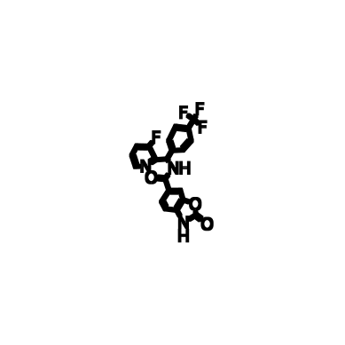 O=C(NC(c1ccc(C(F)(F)F)cc1)c1ncccc1F)c1ccc2[nH]c(=O)oc2c1